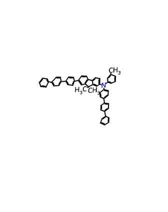 Cc1cccc(N(c2ccc(-c3ccc(-c4ccccc4)cc3)cc2)c2ccc3c(c2)C(C)(C)c2cc(-c4ccc(-c5ccc(-c6ccccc6)cc5)cc4)ccc2-3)c1